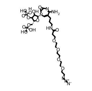 [N-]=[N+]=NCCOCCOCCOCCOCCC(=O)NCCCC1=CN([C@@H]2O[C@H](COP(=O)(O)O)C(OP(=O)(O)O)C2O)C2OC2N=C1N